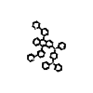 c1ccc(N(c2ccccc2)c2ccc(N(c3ccccc3)c3ccc4c(-c5cccc(-c6ccccn6)c5)c5ccccc5c(-c5cccc(-c6ccccn6)c5)c4c3)cc2)cc1